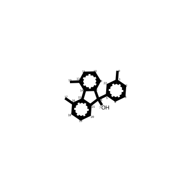 Cc1cccc(C2(O)c3cccc(C)c3-c3c(C)cccc32)c1